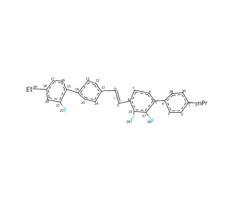 CCCc1ccc(-c2ccc(/C=C/c3ccc(-c4ccc(CC)cc4F)cc3)c(F)c2F)cc1